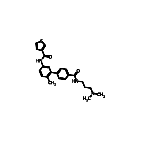 Cc1ccc(NC(=O)c2ccsc2)cc1-c1ccc(C(=O)NCCCN(C)C)cc1